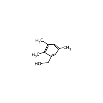 [CH2]c1cc(C)cc(CO)c1C